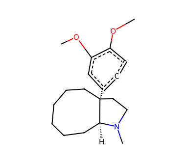 COc1ccc([C@@]23CCCCCC[C@@H]2N(C)CC3)cc1OC